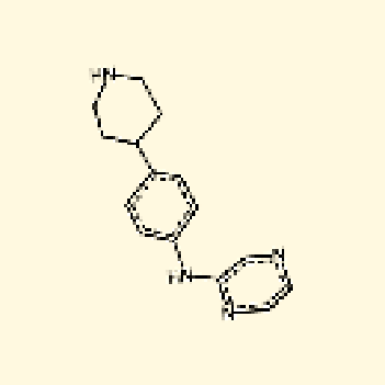 c1cnc(Nc2ccc(C3CCNCC3)cc2)cn1